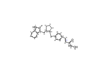 Cc1[nH]c2ccccc2c1C[C@H]1CCCN1Cc1ccc(/C=C/C(=O)NO)cc1